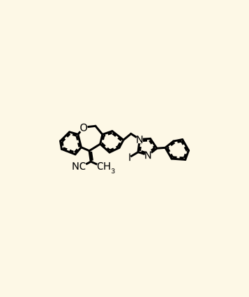 CC(C#N)=C1c2ccc(Cn3cc(-c4ccccc4)nc3I)cc2COc2ccccc21